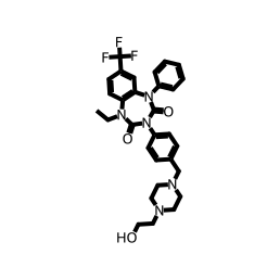 CCN1C(=O)N(c2ccc(CN3CCN(CCO)CC3)cc2)C(=O)N(c2ccccc2)c2cc(C(F)(F)F)ccc21